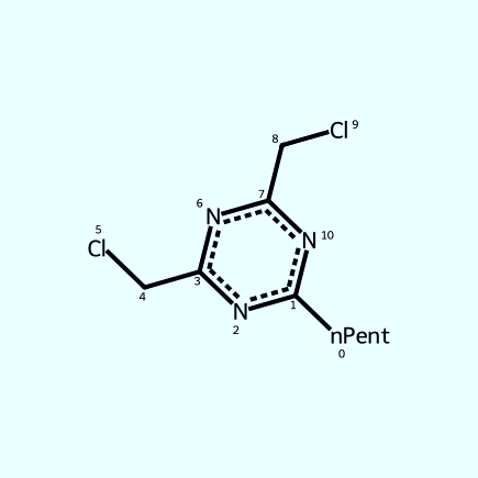 CCCCCc1nc(CCl)nc(CCl)n1